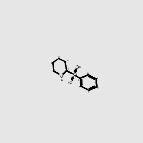 O=S(=O)(c1ccccc1)C1CCCCO1